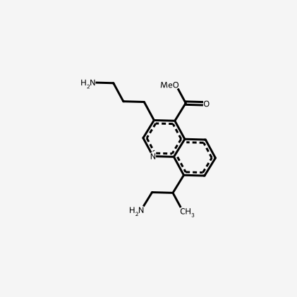 COC(=O)c1c(CCCN)cnc2c(C(C)CN)cccc12